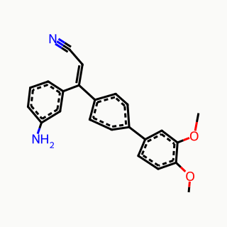 COc1ccc(-c2ccc(C(=CC#N)c3cccc(N)c3)cc2)cc1OC